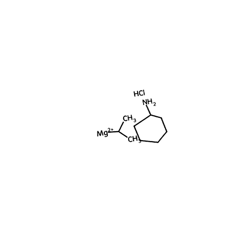 C[CH](C)[Mg+2].Cl.NC1CCCCC1